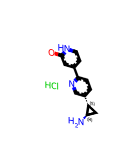 Cl.N[C@@H]1C[C@H]1c1ccc(-c2cc[nH]c(=O)c2)nc1